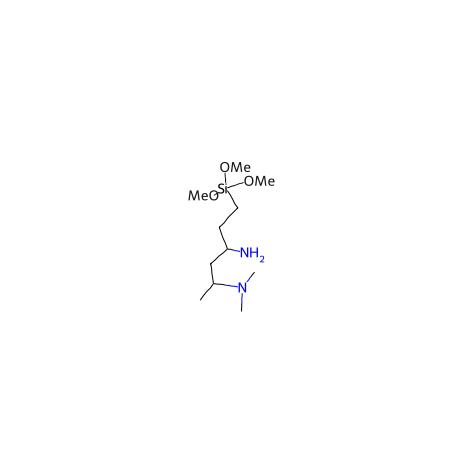 CO[Si](CCC(N)CC(C)N(C)C)(OC)OC